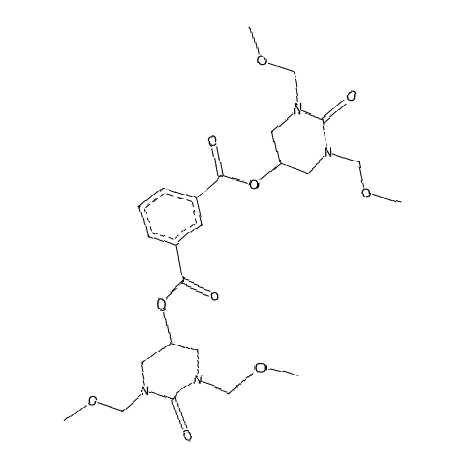 COCN1CC(OC(=O)c2cccc(C(=O)OC3CN(COC)C(=O)N(COC)C3)c2)CN(COC)C1=O